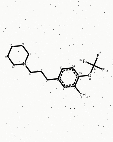 Cc1cc(CCCN2CCCCC2)ccc1OC(F)(F)F